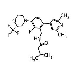 Cc1cc(-c2ccc(N3CCO[C@@H](C(F)(F)F)C3)c(F)c2CNC(=O)CC(C)C)cc(C)n1